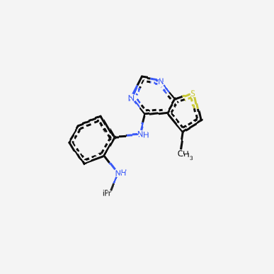 Cc1csc2ncnc(Nc3ccccc3NC(C)C)c12